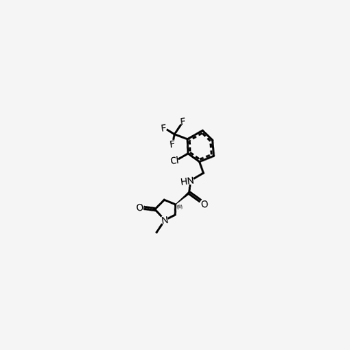 CN1C[C@H](C(=O)NCc2cccc(C(F)(F)F)c2Cl)CC1=O